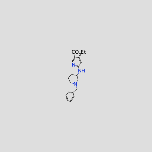 CCOC(=O)c1ccc(N[C@@H]2CCCN(Cc3ccccc3)C2)nc1